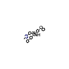 C=C/C=C\C(=C/C)c1cccc(C2=C(c3ccc(-c4ccccc4)cc3)CNC(c3ccc(C4=c5ccccc5=CCC4)cc3)=N2)c1